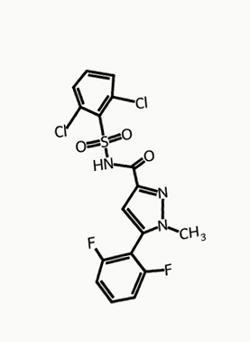 Cn1nc(C(=O)NS(=O)(=O)c2c(Cl)cccc2Cl)cc1-c1c(F)cccc1F